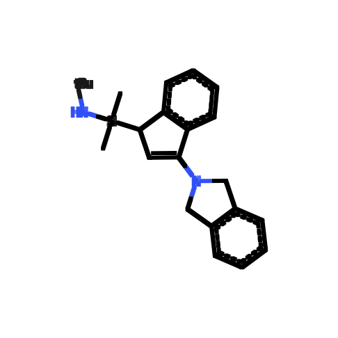 CC(C)(C)N[Si](C)(C)C1C=C(N2Cc3ccccc3C2)c2ccccc21